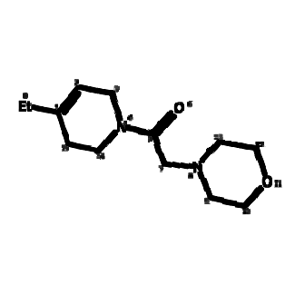 CCC1=CCN(C(=O)CN2CCOCC2)CC1